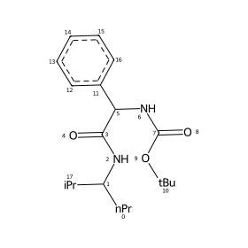 CCCC(NC(=O)C(NC(=O)OC(C)(C)C)c1ccccc1)C(C)C